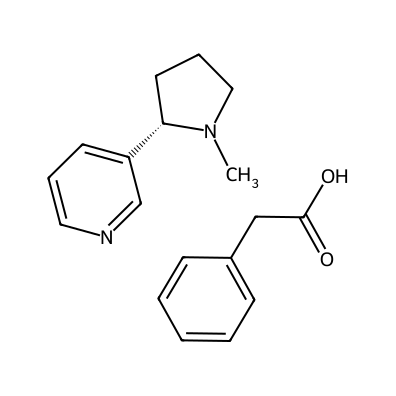 CN1CCC[C@H]1c1cccnc1.O=C(O)Cc1ccccc1